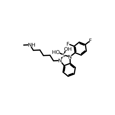 CNCCCCCN1c2ccccc2N(c2ccc(F)cc2F)S1(O)O